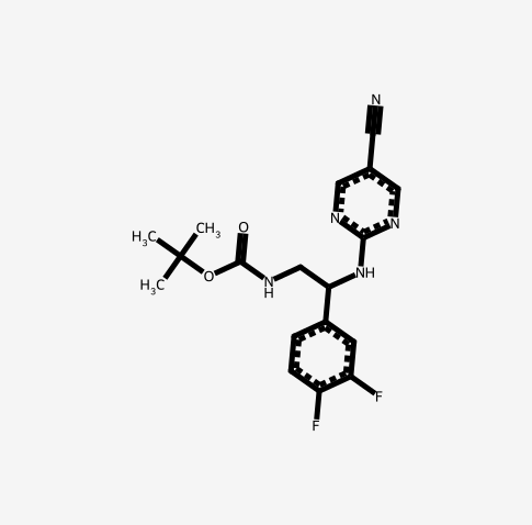 CC(C)(C)OC(=O)NCC(Nc1ncc(C#N)cn1)c1ccc(F)c(F)c1